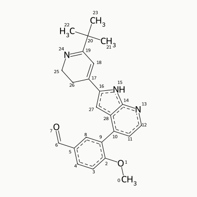 COc1ccc(C=O)cc1-c1ccnc2[nH]c(C3=CC(C(C)(C)C)=NCC3)cc12